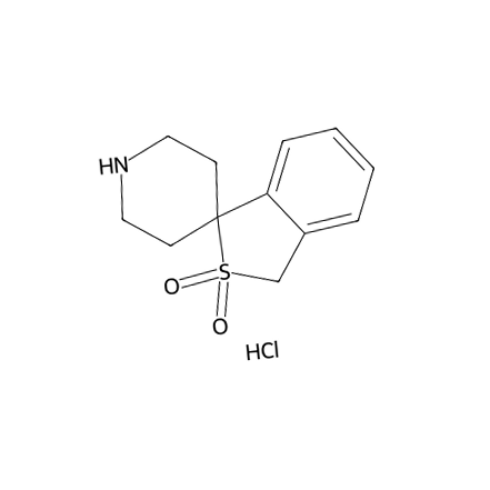 Cl.O=S1(=O)Cc2ccccc2C12CCNCC2